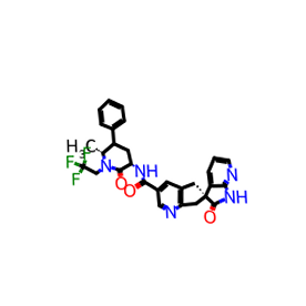 C[C@@H]1C(c2ccccc2)C[C@H](NC(=O)c2cnc3c(c2)C[C@@]2(C3)C(=O)Nc3ncccc32)C(=O)N1CC(F)(F)F